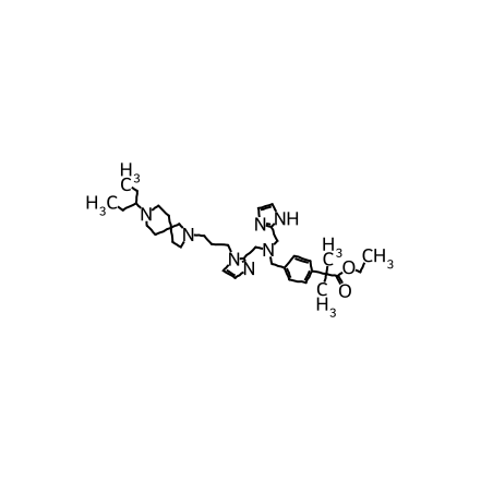 CCOC(=O)C(C)(C)c1ccc(CN(Cc2ncc[nH]2)Cc2nccn2CCCN2CCC3(CCN(C(CC)CC)CC3)C2)cc1